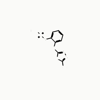 Cc1nnc(Sc2ccccc2NS(C)(=O)=O)s1